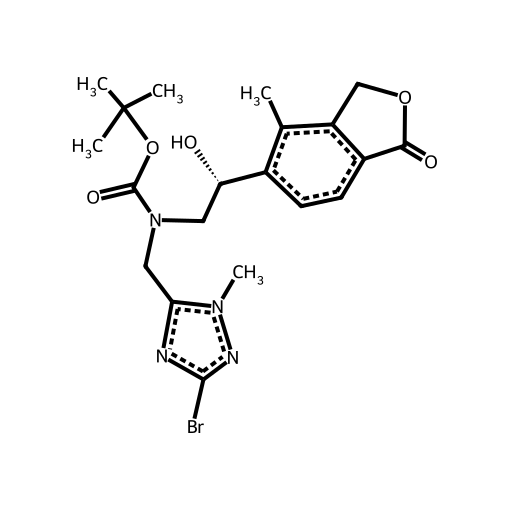 Cc1c([C@@H](O)CN(Cc2nc(Br)nn2C)C(=O)OC(C)(C)C)ccc2c1COC2=O